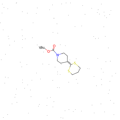 CC(C)(C)OC(=O)N1CCC(=C2SCCCS2)CC1